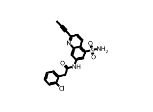 CC#Cc1ccc2c(S(N)(=O)=O)cc(NC(=O)Cc3ccccc3Cl)cc2n1